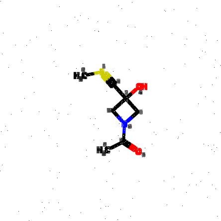 CS#CC1(O)CN(C(C)=O)C1